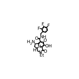 CCN1C[C@H]2C[C@H](N)c3c(C(=O)NCc4ccc(F)c(F)c4F)c(=O)c(O)c(n32)C1=O